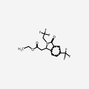 CCOC(=O)CC1c2ccc(C(F)(F)F)cc2C(=O)N1CC(F)(F)F